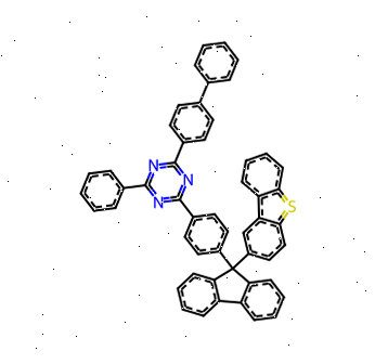 c1ccc(-c2ccc(-c3nc(-c4ccccc4)nc(-c4ccc(C5(c6ccc7sc8ccccc8c7c6)c6ccccc6-c6ccccc65)cc4)n3)cc2)cc1